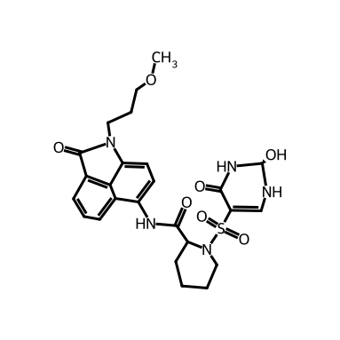 COCCCN1C(=O)c2cccc3c(NC(=O)C4CCCCN4S(=O)(=O)C4=CN[C@H](O)NC4=O)ccc1c23